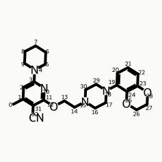 Cc1cc(N2CCCCC2)nc(OCCN2CCN(c3cccc4c3OCCO4)CC2)c1C#N